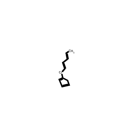 C/C=C/C=[CH]/[Cr][C]1=CC=CC1